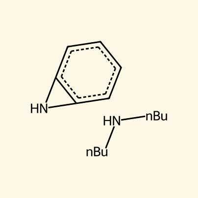 CCCCNCCCC.c1ccc2c(c1)N2